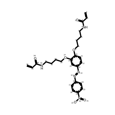 C=CC(=O)NCCCCOc1ccc(N=Nc2ccc([N+](=O)[O-])cc2)cc1OCCCCNC(=O)C=C